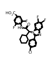 O=C(O)c1cc(F)c(NC(=O)C(C2CCCCC2)n2c(-c3ccc(Cl)cc3)nc3cc(F)c(F)cc32)c(F)c1